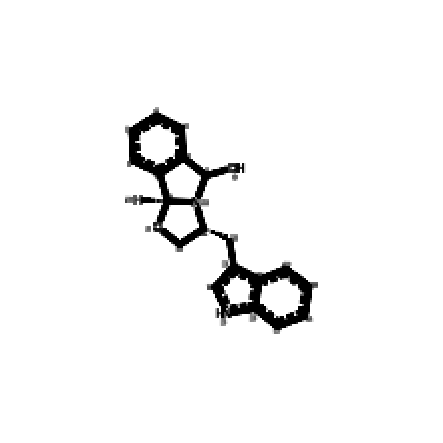 OC1c2ccccc2[C@@H]2OC[C@@H](Cc3c[nH]c4ccccc34)N12